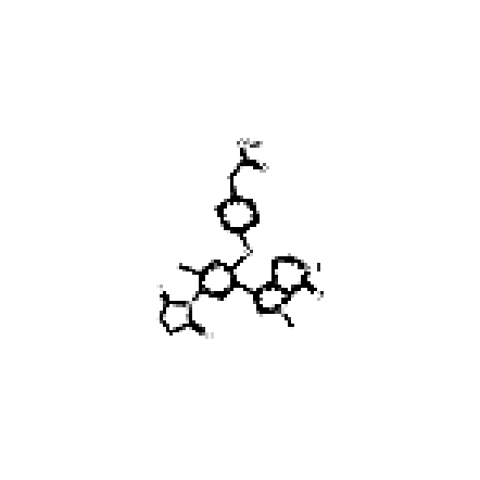 COC(=O)Cc1ccc(Oc2cc(C)c(N3C(=O)CCC3=O)cc2-c2cn(C)c3c(=O)[nH]ccc23)cc1